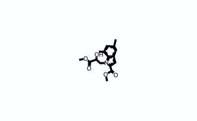 COC(=O)c1cc2cc(C)cc(C)c2n1CC(O)C(=O)OC